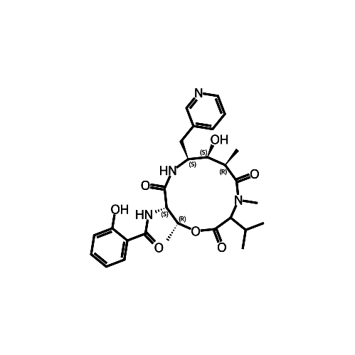 CC(C)C1C(=O)O[C@H](C)[C@H](NC(=O)c2ccccc2O)C(=O)N[C@@H](Cc2cccnc2)[C@@H](O)[C@@H](C)C(=O)N1C